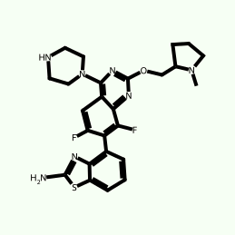 CN1CCCC1COc1nc(N2CCNCC2)c2cc(F)c(-c3cccc4sc(N)nc34)c(F)c2n1